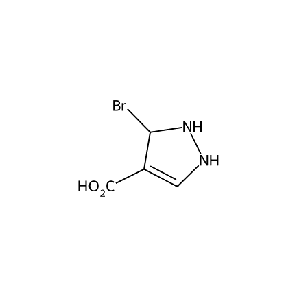 O=C(O)C1=CNNC1Br